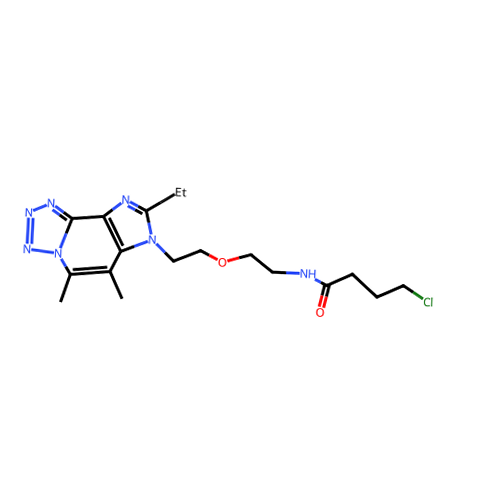 CCc1nc2c(c(C)c(C)n3nnnc23)n1CCOCCNC(=O)CCCCl